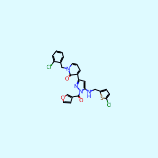 O=C(c1ccoc1)n1nc(-c2cccn(Cc3ccccc3Cl)c2=O)cc1NCc1ccc(Cl)s1